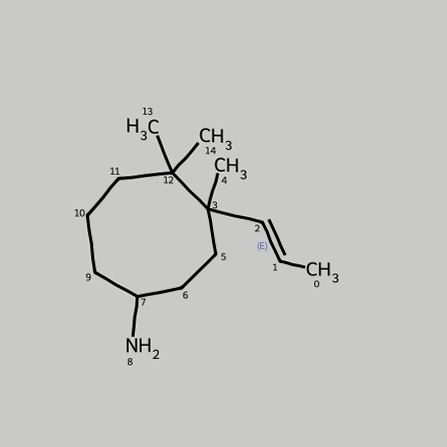 C/C=C/C1(C)CCC(N)CCCC1(C)C